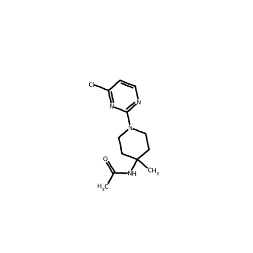 CC(=O)NC1(C)CCN(c2nccc(Cl)n2)CC1